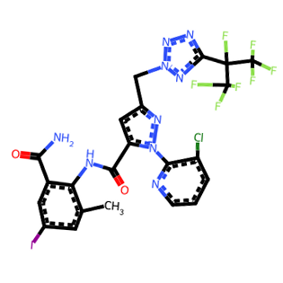 Cc1cc(I)cc(C(N)=O)c1NC(=O)c1cc(Cn2nnc(C(F)(C(F)(F)F)C(F)(F)F)n2)nn1-c1ncccc1Cl